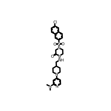 CN(C)c1cc(N2CCC(CNN3CCN(S(=O)(=O)c4ccc5cc(Cl)ccc5c4)CC3=O)CC2)ccn1